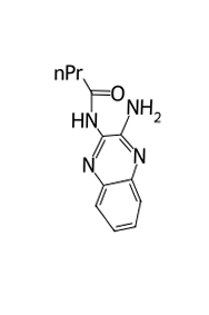 CCCC(=O)Nc1nc2ccccc2nc1N